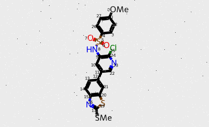 COc1ccc(S(=O)(=O)Nc2cc(-c3ccc4nc(SC)sc4c3)cnc2Cl)cc1